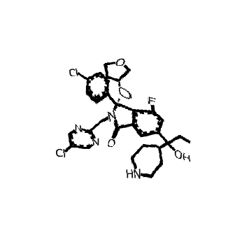 CCC(O)(c1cc(F)c2c(c1)C(=O)N(Cc1ncc(Cl)cn1)[C@@]2(O[C@H]1CCOC1)c1ccc(Cl)cc1)C1CCNCC1